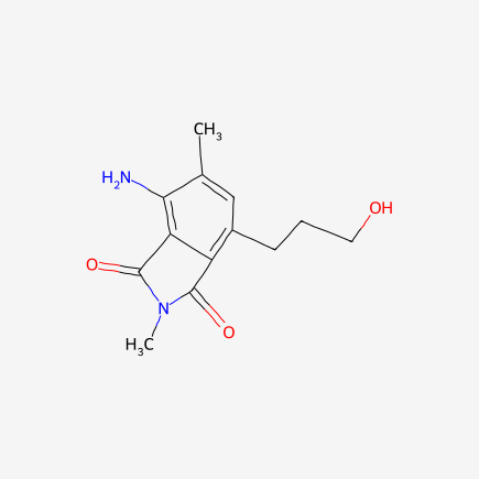 Cc1cc(CCCO)c2c(c1N)C(=O)N(C)C2=O